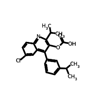 CC(C)c1cccc(-c2c(OC(=O)O)c(C(C)C)nc3ccc(Cl)cc23)c1